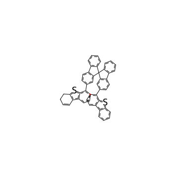 C1=Cc2c(sc3c(-c4ccc5c(c4)C4(c6ccccc6-5)c5ccccc5-c5ccc(-c6cccc7c6sc6ccccc67)cc54)cccc23)CC1